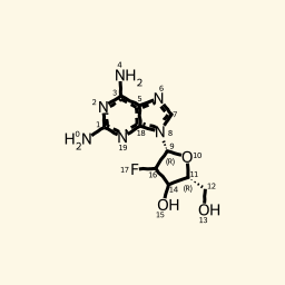 Nc1nc(N)c2ncn([C@@H]3O[C@H](CO)C(O)C3F)c2n1